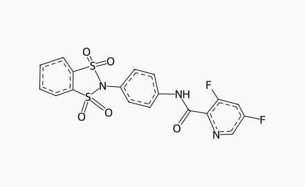 O=C(Nc1ccc(N2S(=O)(=O)c3ccccc3S2(=O)=O)cc1)c1ncc(F)cc1F